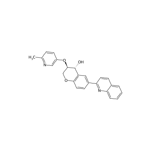 Cc1ccc(O[C@@H]2COc3ccc(-c4ccc5ccccc5n4)cc3[C@H]2O)cn1